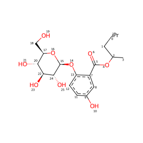 CC(C)CC(C)OC(=O)c1cc(O)ccc1O[C@@H]1O[C@H](CO)[C@@H](O)[C@H](O)[C@H]1O